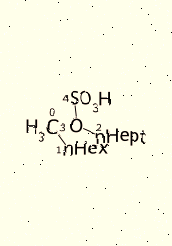 CCCCCCC.CCCCCCCOS(=O)(=O)O